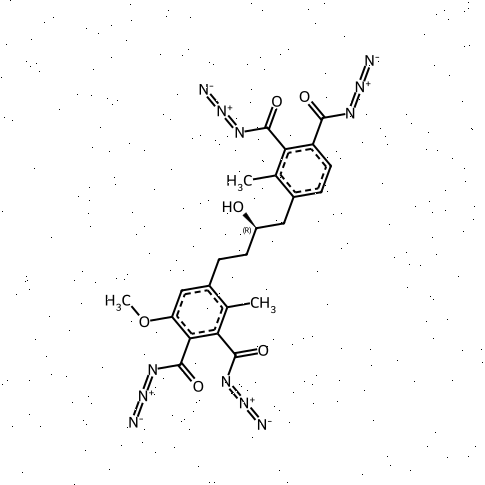 COc1cc(CC[C@@H](O)Cc2ccc(C(=O)N=[N+]=[N-])c(C(=O)N=[N+]=[N-])c2C)c(C)c(C(=O)N=[N+]=[N-])c1C(=O)N=[N+]=[N-]